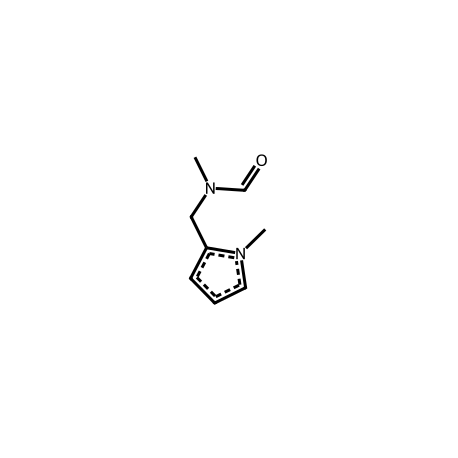 CN(C=O)Cc1cccn1C